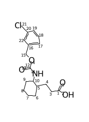 O=C(O)CCC1CCCCC1NC(=O)OCc1cccc(Cl)c1